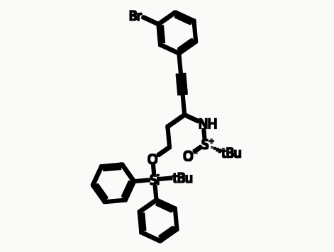 CC(C)(C)[S@+]([O-])NC(C#Cc1cccc(Br)c1)CCO[Si](c1ccccc1)(c1ccccc1)C(C)(C)C